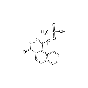 CS(=O)(=O)O.O=C(O)c1ccc2ccccc2c1C(=O)O